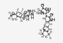 Cc1c(C)c(S(=O)(=O)NC(=N)NCCC[C@H](NC(=O)c2ccc(Cc3ccc4c(c3)C(C)(C)CCC4(C)C)[nH]c2=O)C(=O)O)c(C)c2c1OC(C)(C)CC2